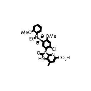 CCN(c1ccccc1OC)S(=O)(=O)c1cc(-n2c(=O)[nH]c3c(C)cc(C(=O)O)nc32)c(Cl)cc1OC